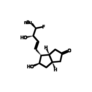 CCCC[C@@H](F)[C@@H](O)C=C[C@@H]1[C@H]2CC(=O)C[C@H]2C[C@H]1O